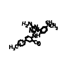 CN1CCN(C2=CC(=C=O)C(Nc3nc(N)nn3-c3cccc(N(C)C)c3)C=C2)CC1